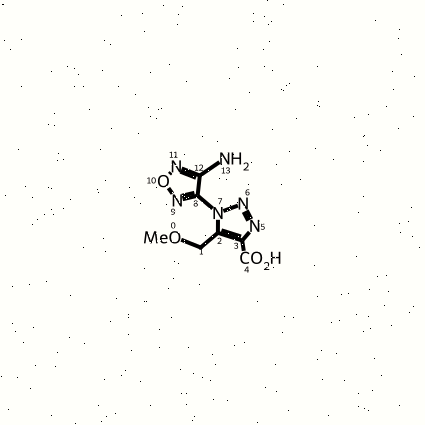 COCc1c(C(=O)O)nnn1-c1nonc1N